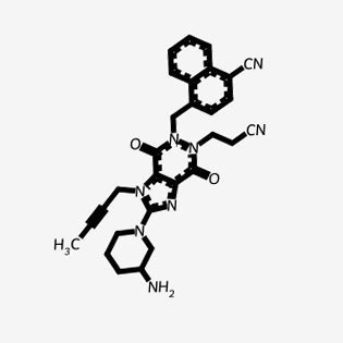 CC#CCn1c(N2CCCC(N)C2)nc2c(=O)n(CCC#N)n(Cc3ccc(C#N)c4ccccc34)c(=O)c21